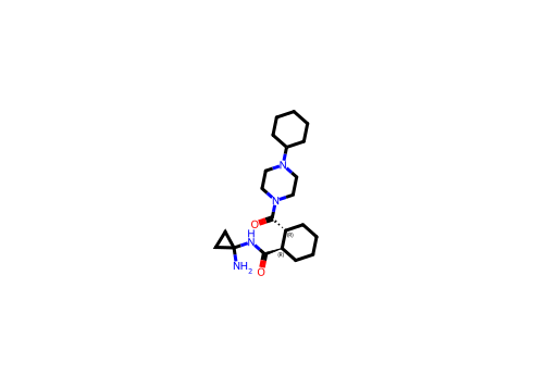 NC1(NC(=O)[C@@H]2CCCC[C@H]2C(=O)N2CCN(C3CCCCC3)CC2)CC1